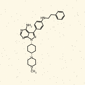 CN1CCN([C@H]2CC[C@@H](n3nc(-c4ccc(NCCc5ccccc5)cc4)c4c(N)ncnc43)CC2)CC1